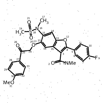 CNC(=O)c1c(-c2ccc(F)cc2)oc2cc(N(C)S(C)(=O)=O)c(OCC(=O)c3ccc(OC)cc3)cc12